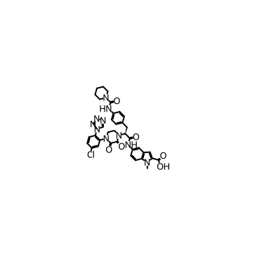 Cn1c(C(=O)O)cc2cc(NC(=O)[C@H](Cc3ccc(NC(=O)N4CCCCC4)cc3)N3CCN(c4cc(Cl)ccc4-n4cnnn4)C(=O)C3=O)ccc21